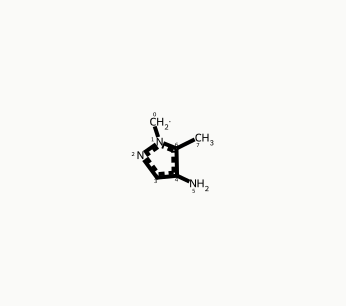 [CH2]n1ncc(N)c1C